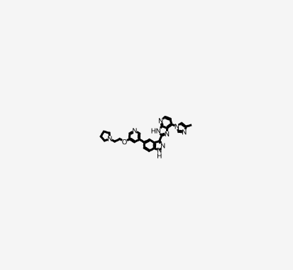 Cc1cn(-c2ccnc3[nH]c(-c4n[nH]c5ccc(-c6cncc(OCCN7CCCC7)c6)cc45)nc23)cn1